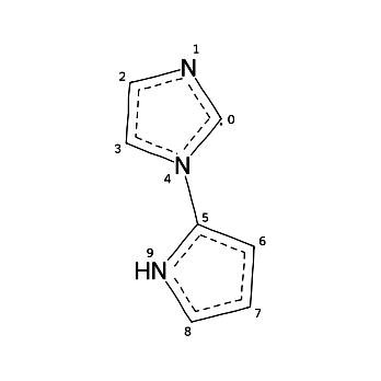 [c]1nccn1-c1ccc[nH]1